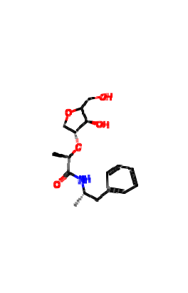 C[C@@H](Cc1ccccc1)NC(=O)[C@@H](C)O[C@@H]1COC(CO)[C@H]1O